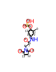 Cc1cc(NC(=O)CCN2C(=O)C=CC2=O)ccc1OS(=O)O